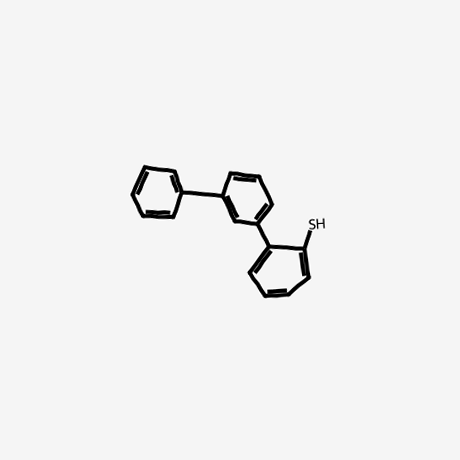 Sc1ccccc1-c1cccc(-c2ccccc2)c1